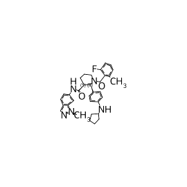 Cc1cccc(F)c1C(=O)N1CCC[C@H](C(=O)Nc2ccc3cnn(C)c3c2)[C@@H]1c1ccc(NC2CCCC2)cc1